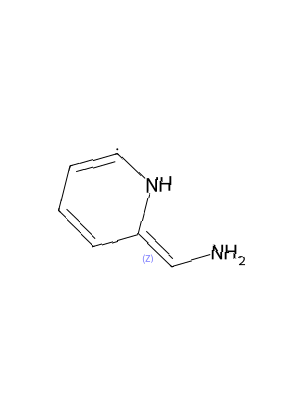 N/C=C1/C=CC=[C]N1